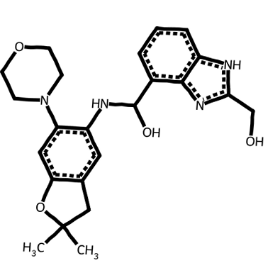 CC1(C)Cc2cc(NC(O)c3cccc4[nH]c(CO)nc34)c(N3CCOCC3)cc2O1